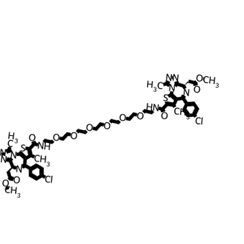 COC(=O)C[C@@H]1N=C(c2ccc(Cl)cc2)c2c(sc(C(=O)NCCOCCOCCOCCOCCOCCOCCNC(=O)c3sc4c(c3C)C(c3ccc(Cl)cc3)=N[C@@H](CC(=O)OC)c3nnc(C)n3-4)c2C)-n2c(C)nnc21